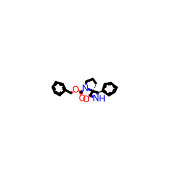 O=C(OCc1ccccc1)N1CCC[C@]12C(=O)N[C@@H]2c1ccccc1